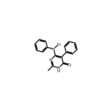 CCN(c1ccccc1)c1nc(C)[nH]c(=O)c1-c1ccccc1